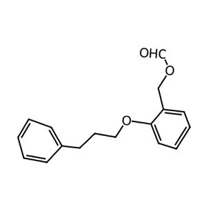 O=COCc1ccccc1OCCCc1ccccc1